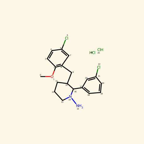 COc1ccc(Cl)cc1CC1CCCN(N)C1c1cccc(Cl)c1.Cl.Cl